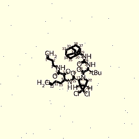 C=CCCNC(=O)C(=O)C(CCC=C)NC(=O)[C@@H]1[C@@H]2[C@H](CN1C(=O)[C@@H](NC(=O)NC1C3CC4CC(C3)CC1C4)C(C)(C)C)C2(Cl)Cl